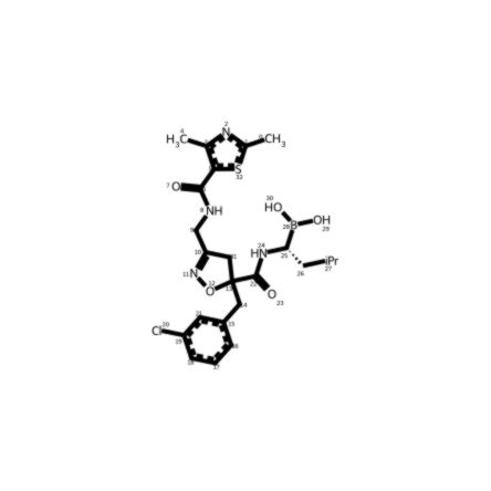 Cc1nc(C)c(C(=O)NCC2=NOC(Cc3cccc(Cl)c3)(C(=O)N[C@@H](CC(C)C)B(O)O)C2)s1